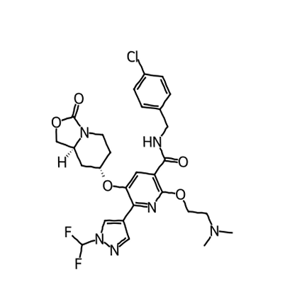 CN(C)CCOc1nc(-c2cnn(C(F)F)c2)c(O[C@H]2CCN3C(=O)OC[C@@H]3C2)cc1C(=O)NCc1ccc(Cl)cc1